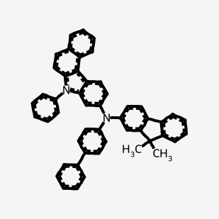 CC1(C)c2ccccc2-c2ccc(N(c3ccc(-c4ccccc4)cc3)c3ccc4c5c6ccccc6ccc5n(-c5ccccc5)c4c3)cc21